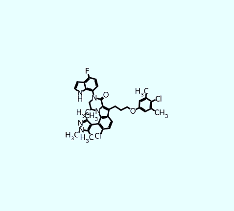 Cc1cc(OCCCc2c3n(c4c(-c5c(C)nn(C)c5C)c(Cl)ccc24)[C@H](C)CN(c2ccc(F)c4cc[nH]c24)C3=O)cc(C)c1Cl